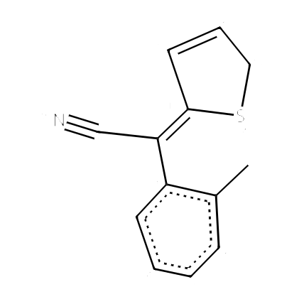 Cc1ccccc1C(C#N)=C1C=CCS1